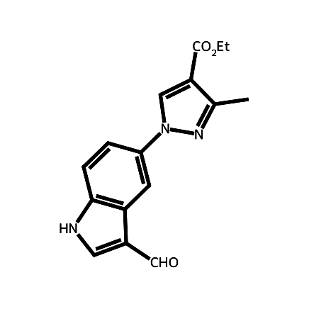 CCOC(=O)c1cn(-c2ccc3[nH]cc(C=O)c3c2)nc1C